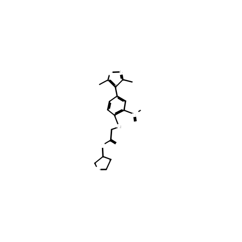 Cc1noc(C)c1-c1ccc(NCC(=O)NC2CCOC2)c([N+](=O)[O-])c1